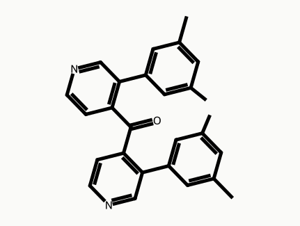 Cc1cc(C)cc(-c2cnccc2C(=O)c2ccncc2-c2cc(C)cc(C)c2)c1